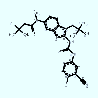 CN(C(=O)CC(C)(C)C)c1ccc2c(c1)nc(NC(=O)Nc1ccc(F)c(C#N)c1)n2CC(C)(C)O